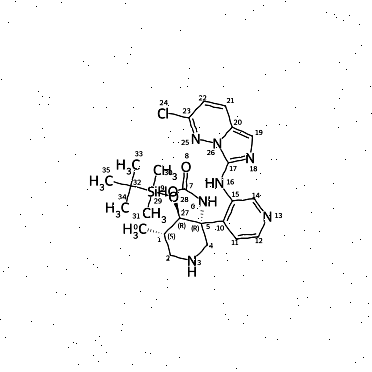 C[C@H]1CNC[C@](NC(=O)O)(c2ccncc2Nc2ncc3ccc(Cl)nn23)[C@@H]1O[Si](C)(C)C(C)(C)C